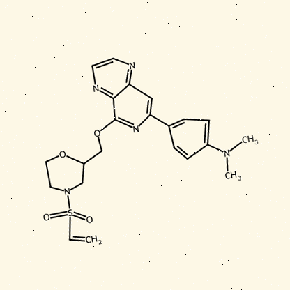 C=CS(=O)(=O)N1CCOC(COc2nc(-c3ccc(N(C)C)cc3)cc3nccnc23)C1